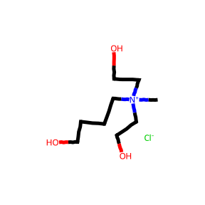 C[N+](CCO)(CCO)CCCCO.[Cl-]